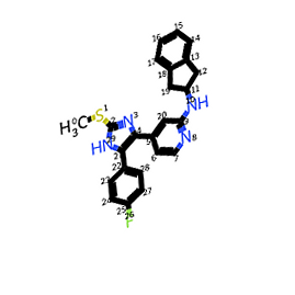 CSc1nc(-c2ccnc(NC3Cc4ccccc4C3)c2)c(-c2ccc(F)cc2)[nH]1